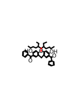 CCCCC(CC)COc1cc(O)c(C(=O)c2ccccc2)cc1Cc1cc(C(=O)c2ccccc2)c(O)cc1OCC(CC)CCCC